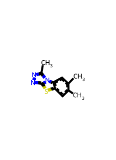 Cc1cc2sc3nnc(C)n3c2cc1C